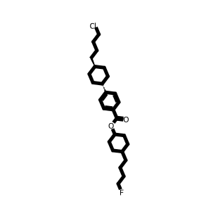 O=C(OC1CCC(CCCCF)CC1)c1ccc([C@H]2CC[C@H](CCCCCl)CC2)cc1